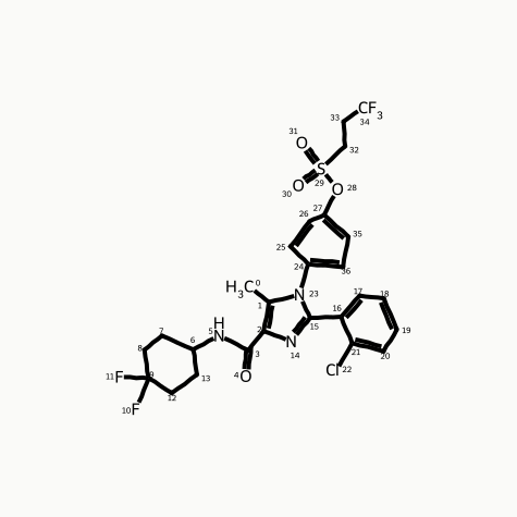 Cc1c(C(=O)NC2CCC(F)(F)CC2)nc(-c2ccccc2Cl)n1-c1ccc(OS(=O)(=O)CCC(F)(F)F)cc1